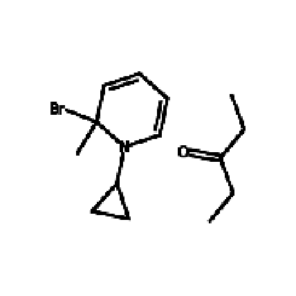 CC1(Br)C=CC=CN1C1CC1.CCC(=O)CC